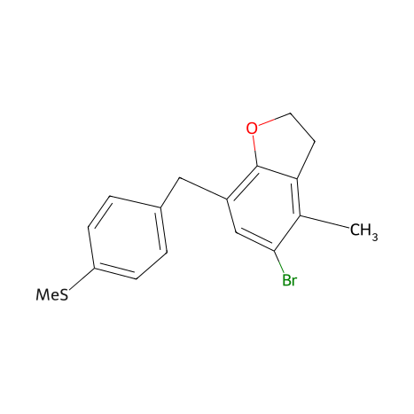 CSc1ccc(Cc2cc(Br)c(C)c3c2OCC3)cc1